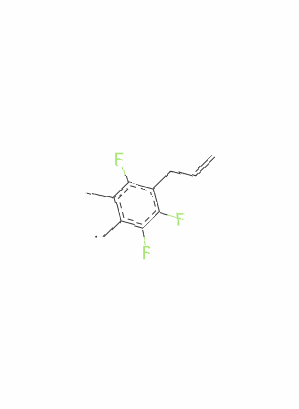 [CH2]c1c(C)c(F)c(CC=C)c(F)c1F